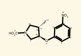 O=C(O)N1C[C@H](Oc2cccc([N+](=O)[O-])c2)[C@@H](F)C1